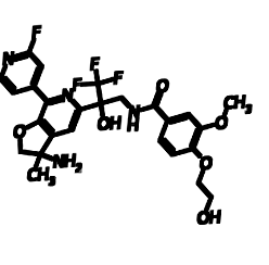 COc1cc(C(=O)NCC(O)(c2cc3c(c(-c4ccnc(F)c4)n2)OCC3(C)N)C(F)(F)F)ccc1OCCO